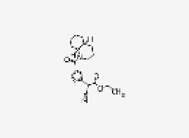 CCOC(=O)C(C#N)c1cc(C(=O)N2CCC[C@H]3CCCC[C@H]32)cs1